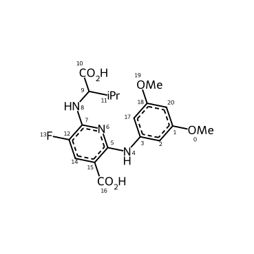 COc1cc(Nc2nc(NC(C(=O)O)C(C)C)c(F)cc2C(=O)O)cc(OC)c1